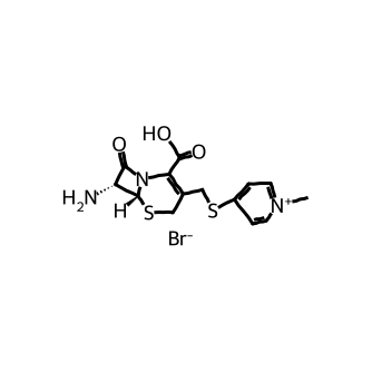 C[n+]1ccc(SCC2=C(C(=O)O)N3C(=O)[C@@H](N)[C@H]3SC2)cc1.[Br-]